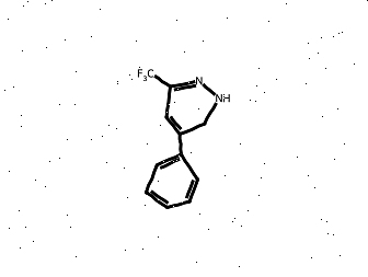 FC(F)(F)C1=NNCC(c2ccccc2)=C1